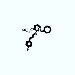 O=C(O)C1=CC=CN(CC2CCCCCC2)C1SCCCc1ccc(F)cc1